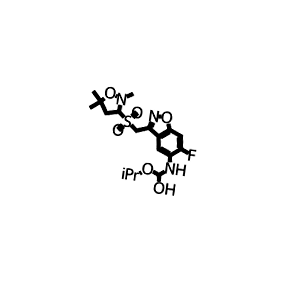 CC(C)OC(O)Nc1cc2c(CS(=O)(=O)C3CC(C)(C)ON3C)noc2cc1F